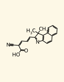 CC1(C)C(C=CC=C(C#N)C(=O)O)=Nc2ccc3ccccc3c21